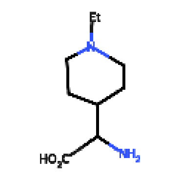 CCN1CCC(C(N)C(=O)O)CC1